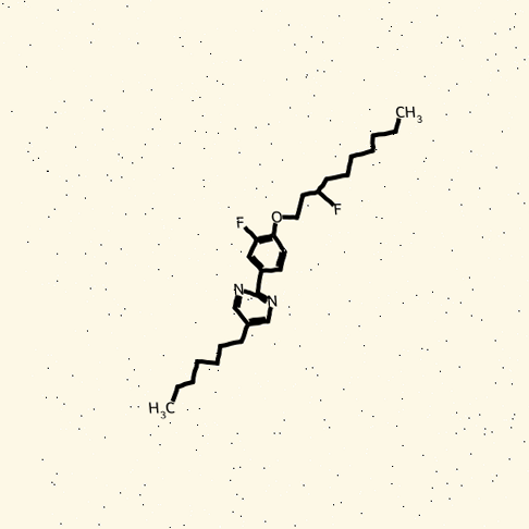 CCCCCCCc1cnc(-c2ccc(OCCC(F)CCCCCCC)c(F)c2)nc1